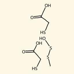 CSSO.O=C(O)CS.O=C(O)CS